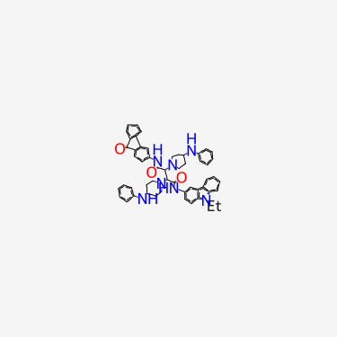 CCn1c2ccccc2c2cc(NC(=O)C(C(C(=O)Nc3ccc4c(c3)-c3ccccc3C4=O)N3CCC(Nc4ccccc4)CC3)N3CCC(Nc4ccccc4)CC3)ccc21